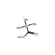 C=[C](CCCCC)[Sn]([CH2]CCC)([CH2]CCC)[CH2]CCC